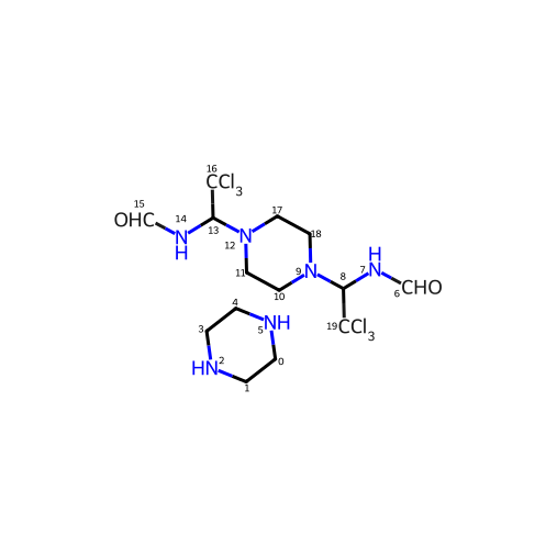 C1CNCCN1.O=CNC(N1CCN(C(NC=O)C(Cl)(Cl)Cl)CC1)C(Cl)(Cl)Cl